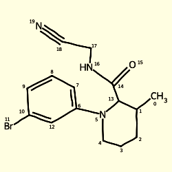 CC1CCCN(c2cccc(Br)c2)C1C(=O)NCC#N